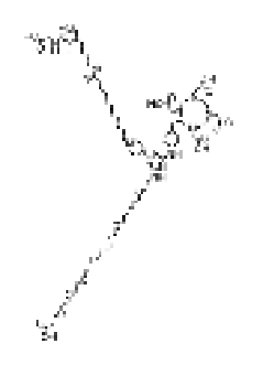 O=CC(CCCCNC(=O)CCCCCCCCCCN1CCN(c2nc(NCCOCCOCCOCCOCCOCCOCCOCCOCCC(=O)O)nc(Nc3ccc(CC4CN(CC(=O)O)CCN(CC(=O)O)CCN(CC(=O)O)CCN4CC(=O)O)cc3)n2)CC1)NC(=O)NCC(=O)O